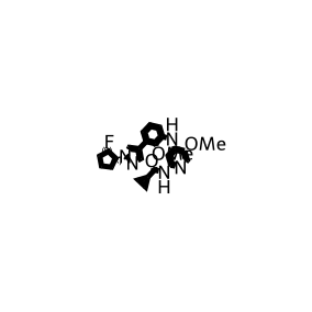 COc1cnc(NC(=O)C2CC2)cc1Nc1cccc(-c2cnn([C@@H]3CCC[C@H]3F)c2)c1OC